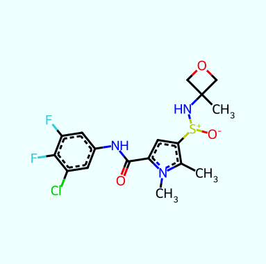 Cc1c([S+]([O-])NC2(C)COC2)cc(C(=O)Nc2cc(F)c(F)c(Cl)c2)n1C